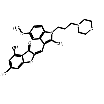 COc1ccc2c(c1)c(C=C1Oc3cc(O)cc(O)c3C1=O)c(C)n2CCCN1CCOCC1